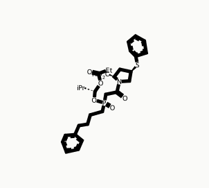 CCC(=O)O[C@H](OP(=O)(CCCCc1ccccc1)CC(=O)N1C[C@H](Sc2ccccc2)C[C@H]1C(=O)O)C(C)C